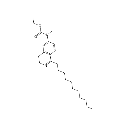 CCCCCCCCCCCC1=NCCc2cc(N(C)C(=O)OCC)ccc21